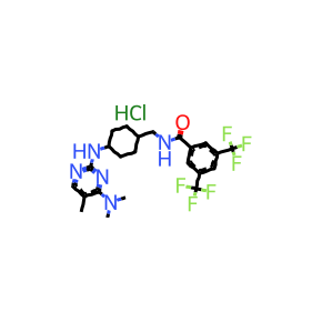 Cc1cnc(NC2CCC(CNC(=O)c3cc(C(F)(F)F)cc(C(F)(F)F)c3)CC2)nc1N(C)C.Cl